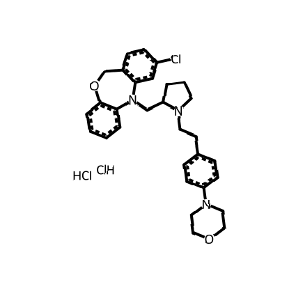 Cl.Cl.Clc1ccc2c(c1)N(CC1CCCN1CCc1ccc(N3CCOCC3)cc1)c1ccccc1OC2